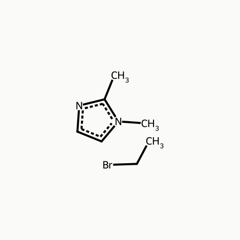 CCBr.Cc1nccn1C